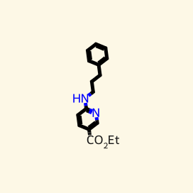 CCOC(=O)c1ccc(NCCCc2ccccc2)nc1